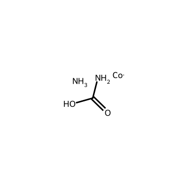 N.NC(=O)O.[Co]